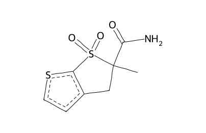 CC1(C(N)=O)Cc2ccsc2S1(=O)=O